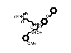 CCCN(CCC)C(=O)CCCC(=O)N[C@@H](Cc1ccc(OCc2ccccc2)cc1)[C@H](O)CNCc1cccc(OC)c1